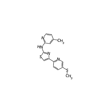 CSc1ccc(-c2csc(Nc3cc(C)ccn3)n2)nc1